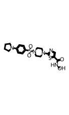 O=C(NO)c1cnc(N2CCN(S(=O)(=O)c3ccc(N4CCCC4)cc3)CC2)s1